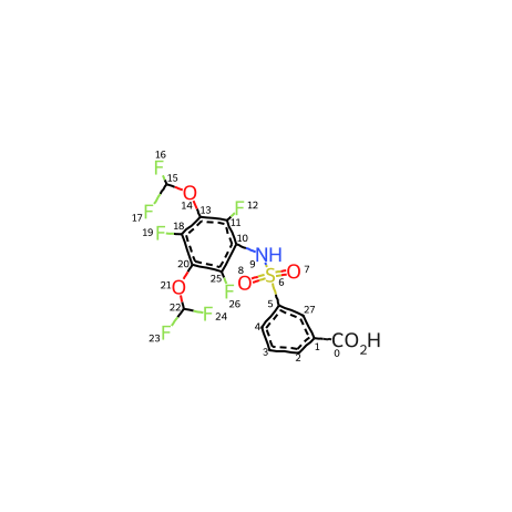 O=C(O)c1cccc(S(=O)(=O)Nc2c(F)c(OC(F)F)c(F)c(OC(F)F)c2F)c1